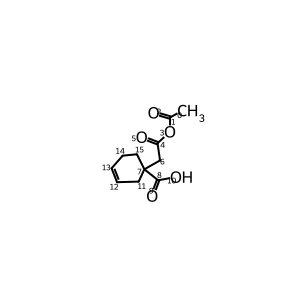 CC(=O)OC(=O)CC1(C(=O)O)CC=CCC1